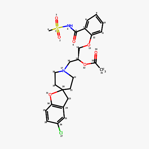 CS(=O)(=O)NC(=O)c1ccccc1OC[C@H](CN1CCC2(CC1)Cc1cc(Cl)ccc1O2)OC(=O)C(F)(F)F